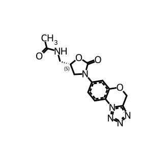 CC(=O)NC[C@H]1CN(c2ccc3c(c2)OCc2nnnn2-3)C(=O)O1